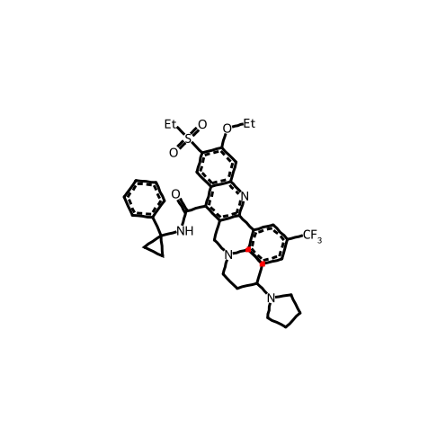 CCOc1cc2nc(-c3cccc(C(F)(F)F)c3)c(CN3CCC(N4CCCC4)CC3)c(C(=O)NC3(c4ccccc4)CC3)c2cc1S(=O)(=O)CC